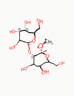 CO[C@@H]1OC(CO)C(O)C(O)[C@@H]1O[C@@H]1OC(CO)[C@@H](O)[C@@H](O)C1O